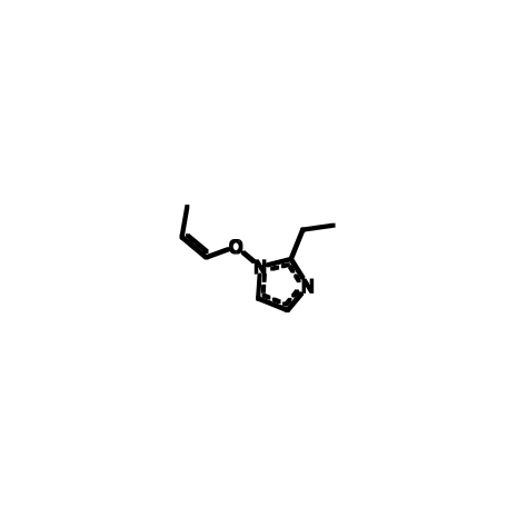 C/C=C\On1ccnc1CC